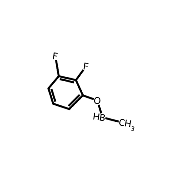 CBOc1cccc(F)c1F